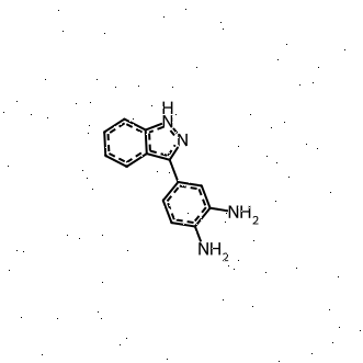 Nc1ccc(-c2n[nH]c3ccccc23)cc1N